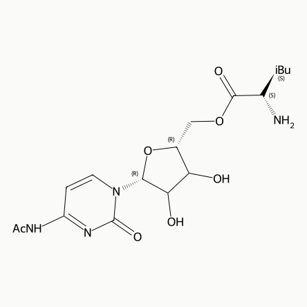 CC[C@H](C)[C@H](N)C(=O)OC[C@H]1O[C@@H](n2ccc(NC(C)=O)nc2=O)C(O)C1O